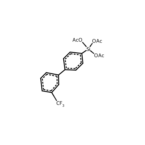 CC(=O)O[Si](OC(C)=O)(OC(C)=O)c1ccc(-c2cccc(C(F)(F)F)c2)cc1